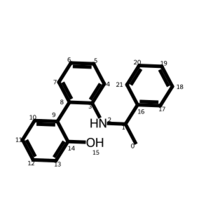 CC(Nc1ccccc1-c1ccccc1O)c1ccccc1